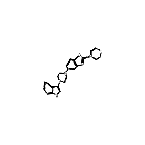 c1ccc2c(N3CCN(c4ccc5oc(N6CCOCC6)nc5c4)CC3)c[nH]c2c1